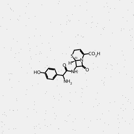 NC(C(=O)NC1C(=O)N2C(C(=O)O)=CCS[C@@H]12)c1ccc(O)cc1